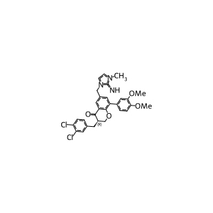 COc1ccc(-c2cc(Cn3ccn(C)c3=N)cc3c2OC[C@@H](Cc2ccc(Cl)c(Cl)c2)C3=O)cc1OC